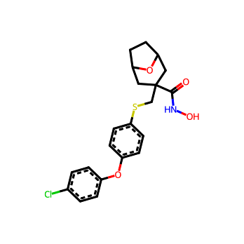 O=C(NO)C1(CSc2ccc(Oc3ccc(Cl)cc3)cc2)CC2CCC(C1)O2